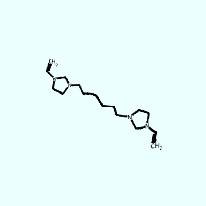 C=CN1CCN(CCCCCCN2CCN(C=C)C2)C1